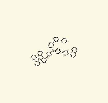 c1ccc(-c2cccc(-c3cccc(N(c4ccc(-c5ccc(-c6cccc7ccccc67)cc5)cc4)c4ccc(-c5cccc6c5-c5ccccc5C6(c5ccccc5)c5ccccc5)cc4)c3)c2)cc1